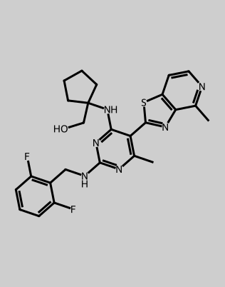 Cc1nc(NCc2c(F)cccc2F)nc(NC2(CO)CCCC2)c1-c1nc2c(C)nccc2s1